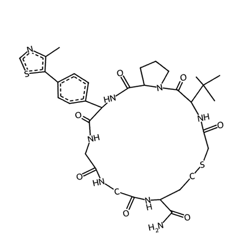 Cc1ncsc1-c1ccc(C2NC(=O)C3CCCN3C(=O)C(C(C)(C)C)NC(=O)CSCCC(C(N)=O)NC(=O)CNC(=O)CNC2=O)cc1